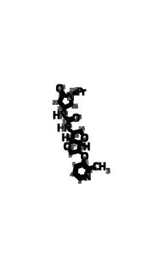 Cc1ncccc1O[C@H]1CO[C@H]2[C@@H]1OC[C@@H]2NC(=O)NC1CC(=O)N(C(C)C)C1